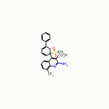 CS(=O)(=O)C1(c2c(C(=O)O)c(N)nc3c(C(F)(F)F)cccc23)C=CC=C(c2ccccc2)C1